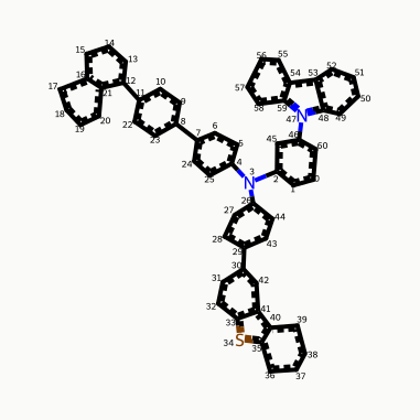 c1cc(N(c2ccc(-c3ccc(-c4cccc5ccccc45)cc3)cc2)c2ccc(-c3ccc4sc5ccccc5c4c3)cc2)cc(-n2c3ccccc3c3ccccc32)c1